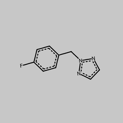 Fc1ccc(Cn2nccn2)cc1